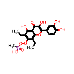 CCc1c(OOP(C)(=O)O)c(CC)c2oc(-c3ccc(O)c(O)c3)c(O)c(=O)c2c1O